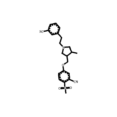 CC1CN(CCc2cccc(C#N)c2)CC1COc1ccc(S(C)(=O)=O)c(C#N)c1